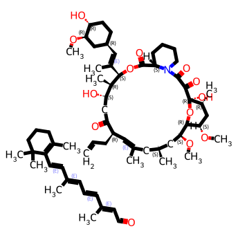 C=CC[C@@H]1/C=C(\C)C[C@H](C)C[C@H](OC)[C@H]2O[C@@](O)(C(=O)C(=O)N3CCCC[C@H]3C(=O)O[C@H](/C(C)=C/[C@@H]3CC[C@@H](O)[C@H](OC)C3)[C@H](C)[C@@H](O)CC1=O)[C@H](C)C[C@@H]2OC.CC1=C(/C=C/C(C)=C/C=C/C(C)=C/C=O)C(C)(C)CCC1